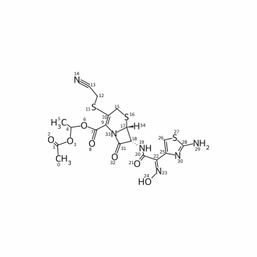 CC(=O)OC(C)OC(=O)C1=C(SCC#N)CS[C@@H]2[C@H](NC(=O)/C(=N\O)c3csc(N)n3)C(=O)N12